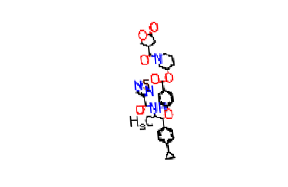 CC(NC(=O)c1cnsn1)C(Oc1ccc(C(=O)O[C@H]2CCCN(C(=O)[C@H]3COC(=O)C3)C2)cc1)c1ccc(C2CC2)cc1